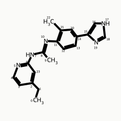 CCc1ccnc(N/C(C)=N/c2ccc(-c3c[nH]cn3)cc2C)c1